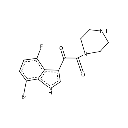 O=C(C(=O)N1CCNCC1)c1c[nH]c2c(Br)ccc(F)c12